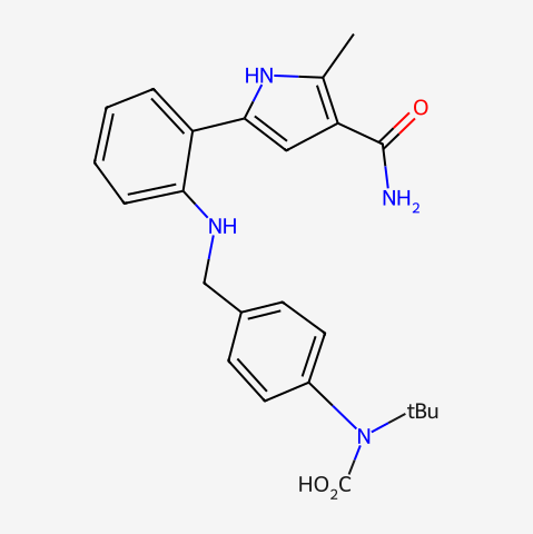 Cc1[nH]c(-c2ccccc2NCc2ccc(N(C(=O)O)C(C)(C)C)cc2)cc1C(N)=O